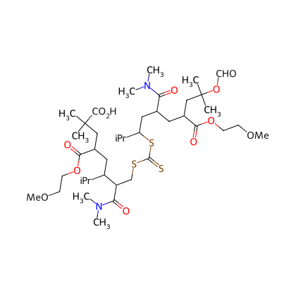 COCCOC(=O)C(CC(CC(SC(=S)SCC(C(=O)N(C)C)C(CC(CC(C)(C)C(=O)O)C(=O)OCCOC)C(C)C)C(C)C)C(=O)N(C)C)CC(C)(C)OC=O